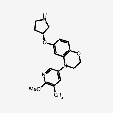 COc1ncc(N2CCOc3ccc(O[C@H]4CCNC4)cc32)cc1C